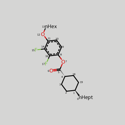 CCCCCCC[C@H]1CC[C@H](C(=O)Oc2ccc(OCCCCCC)c(F)c2F)CC1